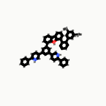 CC(C)(C)c1cc(-c2ccccc2-c2cccc3c2oc2c(-c4cc(-c5ccc(-c6ccccc6)nc5)cc(-c5ccc(-c6ccccc6)nc5)c4)cccc23)cc(C(C)(C)C)c1